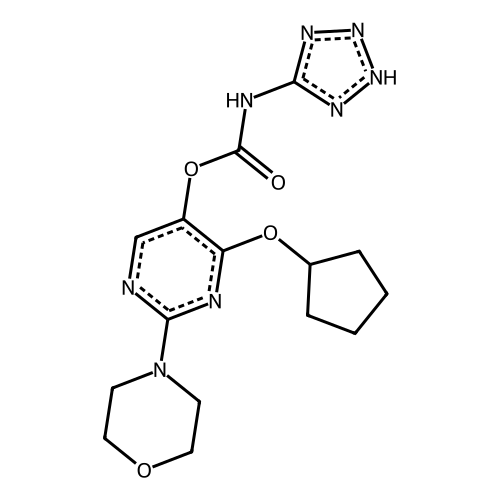 O=C(Nc1nn[nH]n1)Oc1cnc(N2CCOCC2)nc1OC1CCCC1